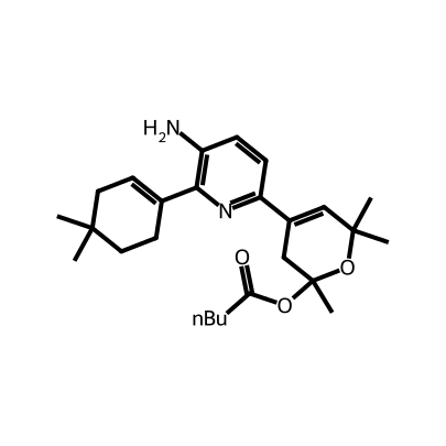 CCCCC(=O)OC1(C)CC(c2ccc(N)c(C3=CCC(C)(C)CC3)n2)=CC(C)(C)O1